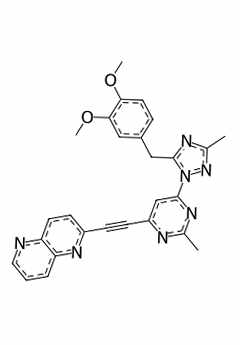 COc1ccc(Cc2nc(C)nn2-c2cc(C#Cc3ccc4ncccc4n3)nc(C)n2)cc1OC